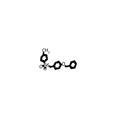 Cc1ccc(S(=O)(=O)SCc2ccc(OCc3ccccc3)cc2)cc1